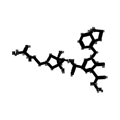 CNC(=O)c1cc(C(=O)N[C@@H]2[C@@H]3CN(CCNC(C)=O)C[C@@H]32)cn(Cc2cccc3[nH]ccc23)c1=O